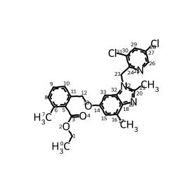 CCOC(=O)c1c(C)cccc1COc1cc(C)c2nc(C)n(Cc3ncc(Cl)cc3Cl)c2c1